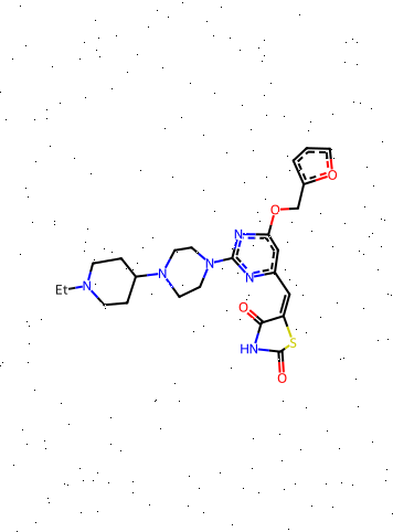 CCN1CCC(N2CCN(c3nc(C=C4SC(=O)NC4=O)cc(OCc4ccco4)n3)CC2)CC1